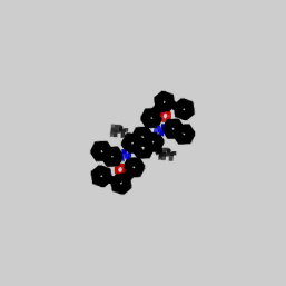 CC(C)c1cc(N(c2ccc3ccccc3c2)c2cccc3c2oc2c(-c4ccccc4)cccc23)c2ccc3c(C(C)C)cc(N(c4ccc5ccccc5c4)c4cccc5c4oc4c(-c6ccccc6)cccc45)c4ccc1c2c34